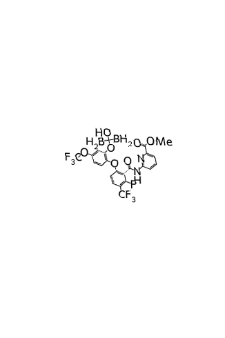 BC(B)(O)Oc1cc(OC(F)(F)F)ccc1Oc1ccc(C(F)(F)F)c(F)c1C(=O)Nc1cccc(C(=O)OC)n1